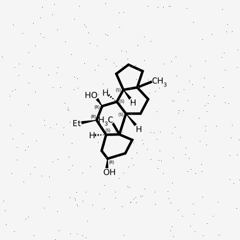 CC[C@H]1[C@@H](O)[C@H]2[C@@H]3CCCC3(C)CC[C@@H]2C2(C)CC[C@@H](O)C[C@@H]12